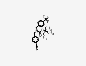 CC(C)(C)OC(=O)N(Cc1ccc(C#N)cc1)Cc1ccc(C(F)(F)F)cc1